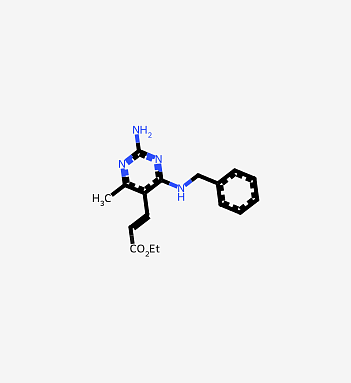 CCOC(=O)/C=C/c1c(C)nc(N)nc1NCc1ccccc1